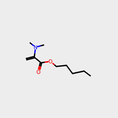 C=C(C(=O)OCCCCC)N(C)C